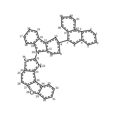 c1ccc2c(c1)cc(-c1ccc3c(c1)c1ccccc1n3-c1nc3c(ccc4oc5ccccc5c43)s1)c1ccccc12